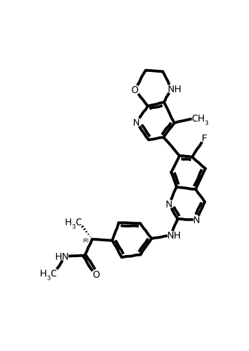 CNC(=O)[C@H](C)c1ccc(Nc2ncc3cc(F)c(-c4cnc5c(c4C)NCCO5)cc3n2)cc1